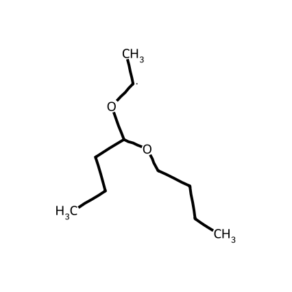 C[CH]OC(CCC)OCCCC